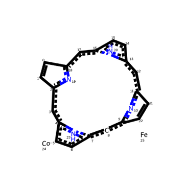 C1=Cc2cc3ccc(cc4nc(cc5ccc(cc1n2)[nH]5)C=C4)[nH]3.[Co].[Fe]